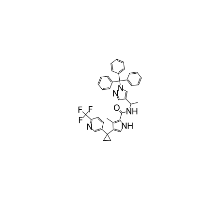 Cc1c(C2(c3ccc(C(F)(F)F)nc3)CC2)c[nH]c1C(=O)NC(C)c1cnn(C(c2ccccc2)(c2ccccc2)c2ccccc2)c1